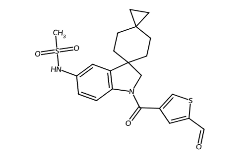 CS(=O)(=O)Nc1ccc2c(c1)C1(CCC3(CC3)CC1)CN2C(=O)c1csc(C=O)c1